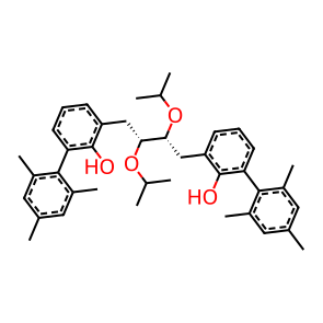 Cc1cc(C)c(-c2cccc(C[C@@H](OC(C)C)[C@@H](Cc3cccc(-c4c(C)cc(C)cc4C)c3O)OC(C)C)c2O)c(C)c1